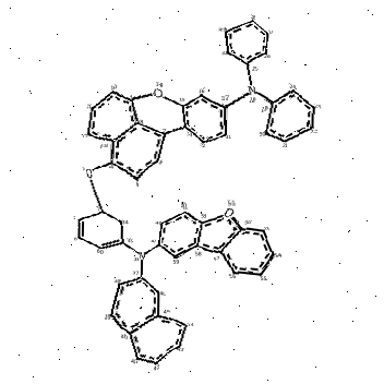 C1=CC(Oc2ccc3c4c(cccc24)Oc2cc(N(c4ccccc4)c4ccccc4)ccc2-3)CC(N(c2ccc3ccccc3c2)c2ccc3oc4ccccc4c3c2)=C1